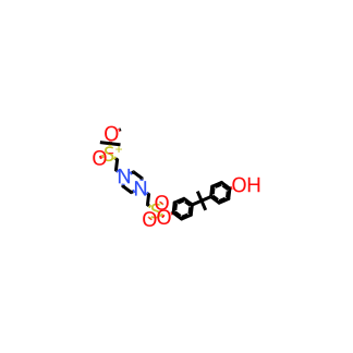 COC(C)(C)[S+]([O-])CCN1CCN(CCS(=O)(=O)Oc2ccc(C(C)(C)c3ccc(O)cc3)cc2)CC1